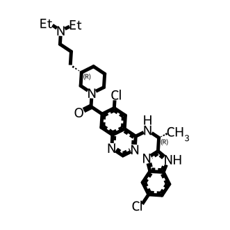 CCN(CC)CCC[C@@H]1CCCN(C(=O)c2cc3ncnc(N[C@H](C)c4nc5cc(Cl)ccc5[nH]4)c3cc2Cl)C1